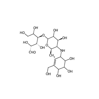 C[C@H]1OC(O[C@H](C(O)CO)[C@H](O)[C@@H](O)C=O)C(O)[C@@H](O)C1NC1C=C(CO)C(O)C(O)C1O